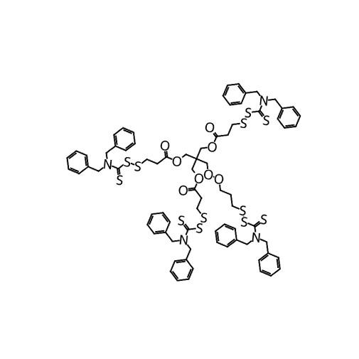 O=C(CCSSC(=S)N(Cc1ccccc1)Cc1ccccc1)OCC(COOCCCSSC(=S)N(Cc1ccccc1)Cc1ccccc1)(COC(=O)CCSSC(=S)N(Cc1ccccc1)Cc1ccccc1)COC(=O)CCSSC(=S)N(Cc1ccccc1)Cc1ccccc1